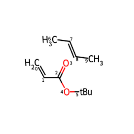 C=CC(=O)OC(C)(C)C.CC=CC